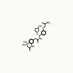 CN(C(=O)Cc1ccc2c(c1)NC(=O)CS2(O)O)[C@H](CN1CCC(O)C1)c1cccc(OCC(N)=O)c1